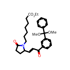 CCOC(=O)CCCCCCN1C(=O)CCC1C=CC(=O)c1cccc(C(OC)(OC)c2ccccc2)c1